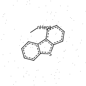 CCCCCCCC.c1ccc2c(c1)sc1ccccc12